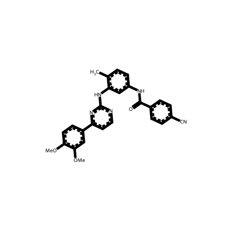 COc1ccc(-c2ccnc(Nc3cc(NC(=O)c4ccc(C#N)cc4)ccc3C)n2)cc1OC